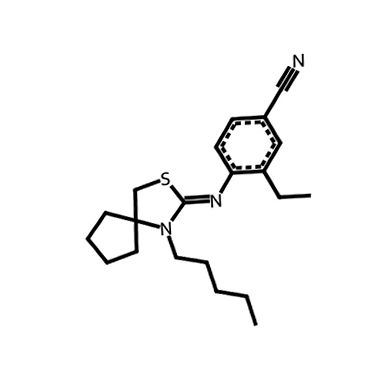 CCCCCN1C(=Nc2ccc(C#N)cc2CC)SCC12CCCC2